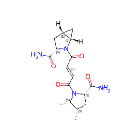 C[C@H]1C[C@@H](C(N)=O)N(C(=O)/C=C/C(=O)N2[C@H](C(N)=O)C[C@@H]3C[C@@H]32)[C@H]1C